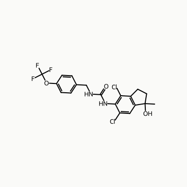 CC1(O)CCc2c1cc(Cl)c(NC(=O)NCc1ccc(OC(F)(F)F)cc1)c2Cl